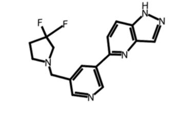 FC1(F)CCN(Cc2cncc(-c3ccc4[nH]ncc4n3)c2)C1